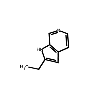 CCc1cc2ccncc2[nH]1